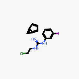 N=C(NCCCl)Nc1cccc(I)c1.c1cc2cc-2c1